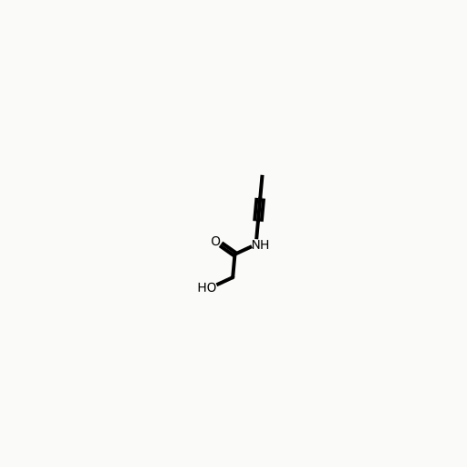 CC#CNC(=O)CO